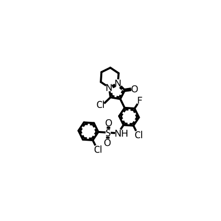 O=c1c(-c2cc(NS(=O)(=O)c3ccccc3Cl)c(Cl)cc2F)c(Cl)n2n1CCCC2